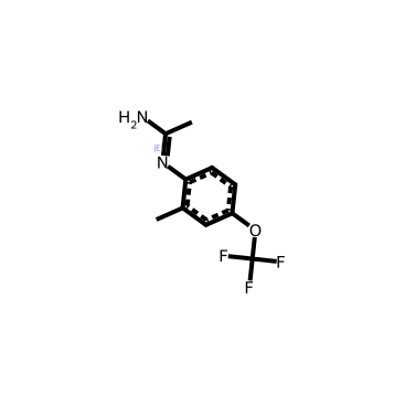 C/C(N)=N\c1ccc(OC(F)(F)F)cc1C